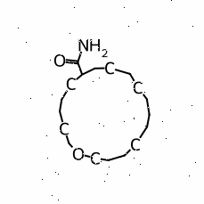 NC(=O)C1CCCCCCCCCCCOCCCCC1